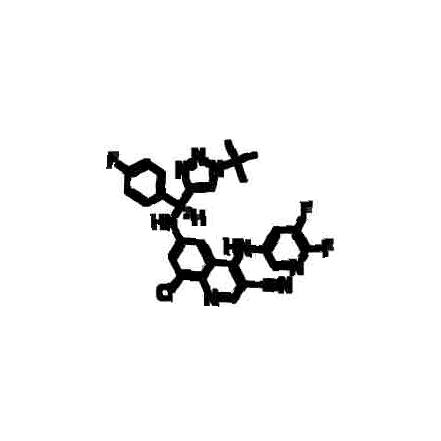 [2H][C@](Nc1cc(Cl)c2ncc(C#N)c(Nc3cnc(F)c(F)c3)c2c1)(c1ccc(F)cc1)c1cn(C(C)(C)C)nn1